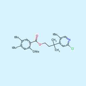 COc1cc(C(C)(C)C)c(C(C)(C)C)cc1C(=O)OCCC(C)(C)c1cc(Cl)ncc1C(C)(C)C